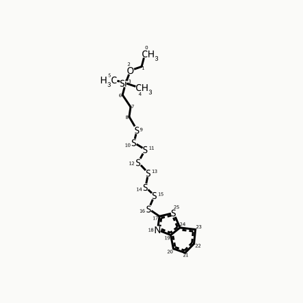 CCO[Si](C)(C)CCCSSSSSSSSc1nc2ccccc2s1